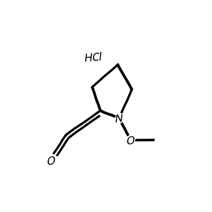 CON1CCCC1=C=O.Cl